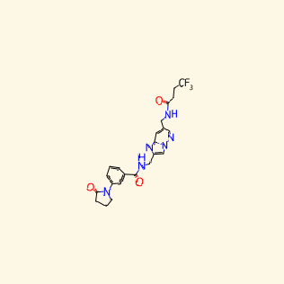 O=C(CCC(F)(F)F)NCc1cnn2cc(CNC(=O)c3cccc(N4CCCC4=O)c3)nc2c1